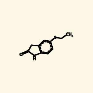 CCSc1ccc2c(c1)CC(=O)N2